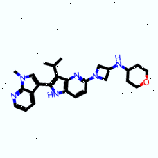 CC(C)c1c(-c2cn(C)c3ncccc23)[nH]c2ccc(N3CC(NC4CCOCC4)C3)nc12